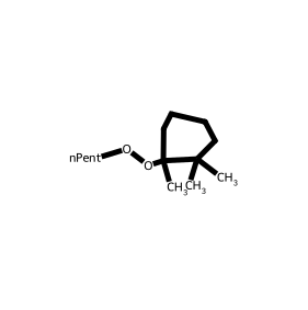 CCCCCOOC1(C)CCCCC1(C)C